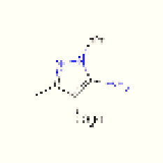 CCCn1nc(C)c(C(=O)OCC)c1N